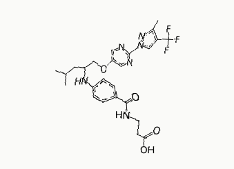 Cc1nn(-c2ncc(OCC(CC(C)C)Nc3ccc(C(=O)NCCC(=O)O)cc3)cn2)cc1C(F)(F)F